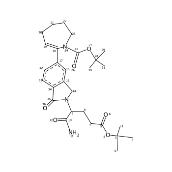 CC(C)(C)OC(=O)CCC(C(N)=O)N1Cc2cc(C3=CCCCCN3C(=O)OC(C)(C)C)ccc2C1=O